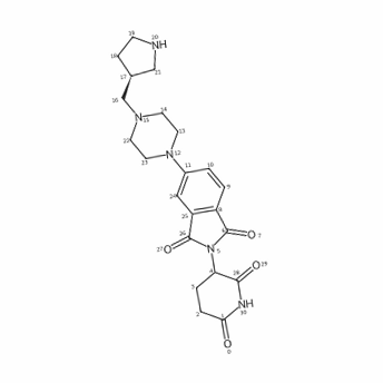 O=C1CCC(N2C(=O)c3ccc(N4CCN(C[C@H]5CCNC5)CC4)cc3C2=O)C(=O)N1